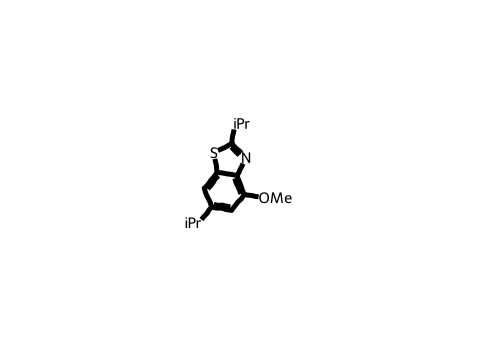 COc1cc(C(C)C)cc2sc(C(C)C)nc12